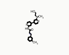 Cc1cccc(/C=C/C(=O)Nc2cc(-c3ccnc(N(C)CCO)c3)ccn2)c1